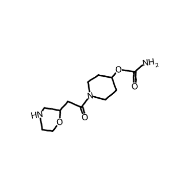 NC(=O)OC1CCN(C(=O)CC2CNCCO2)CC1